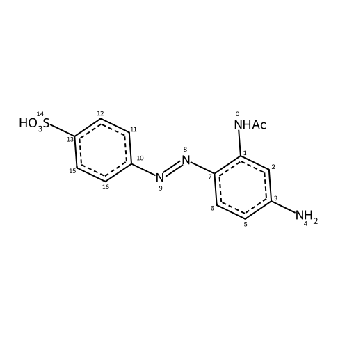 CC(=O)Nc1cc(N)ccc1/N=N/c1ccc(S(=O)(=O)O)cc1